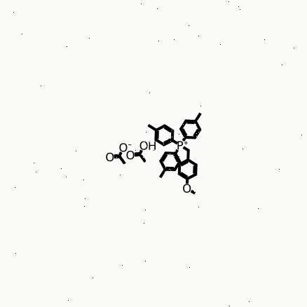 CC(=O)O.CC(=O)[O-].COc1ccc(C[P+](c2ccc(C)cc2)(c2ccc(C)cc2)c2ccc(C)cc2)cc1